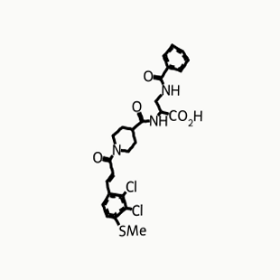 CSc1ccc(C=CC(=O)N2CCC(C(=O)NC(CNC(=O)c3ccccc3)C(=O)O)CC2)c(Cl)c1Cl